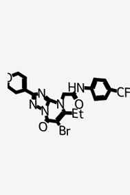 CCc1c(Br)c(=O)n2nc(C3=CCOCC3)nc2n1CC(=O)Nc1ccc(C(F)(F)F)cc1